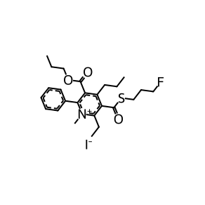 CCCOC(=O)c1c(CCC)c(C(=O)SCCCF)c(CC)[n+](C)c1-c1ccccc1.[I-]